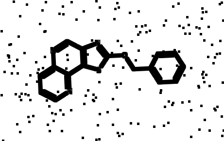 c1ccc(COc2nc3cnc4cccnc4c3s2)cc1